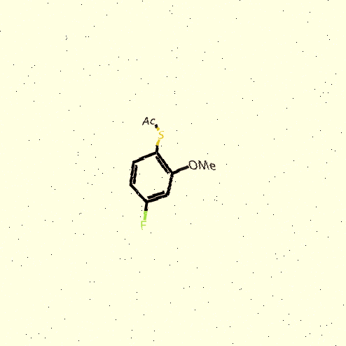 COc1cc(F)ccc1SC(C)=O